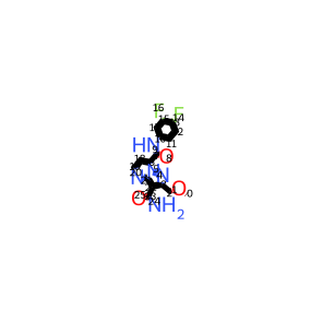 COCc1nn2c(C(=O)Nc3ccc(F)c(F)c3)ccnc2c1C(N)=O